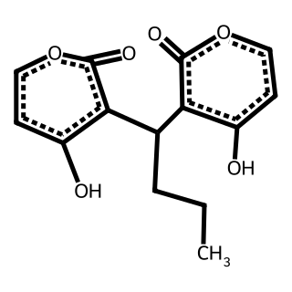 CCCC(c1c(O)ccoc1=O)c1c(O)ccoc1=O